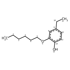 CCCCCCOc1cc(CC)ccc1O